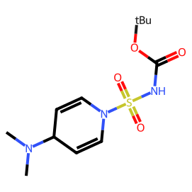 CN(C)C1C=CN(S(=O)(=O)NC(=O)OC(C)(C)C)C=C1